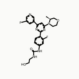 C[C@H]1COCCN1c1cc(-c2cncc(F)c2)nc(-c2ccc(NC(=O)NCCO)cc2F)n1